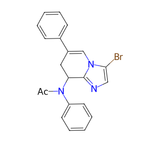 CC(=O)N(c1ccccc1)C1CC(c2ccccc2)=Cn2c(Br)cnc21